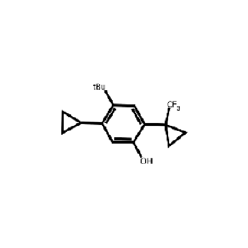 CC(C)(C)c1cc(C2(C(F)(F)F)CC2)c(O)cc1C1CC1